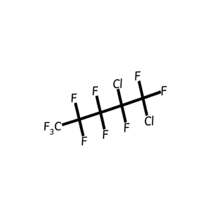 FC(F)(F)C(F)(F)C(F)(F)C(F)(Cl)C(F)(F)Cl